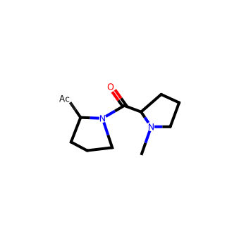 CC(=O)C1CCCN1C(=O)C1CCCN1C